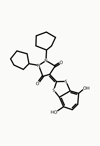 O=C1C(=C2Sc3c(O)ccc(O)c3S2)C(=O)N(C2CCCCC2)N1C1CCCCC1